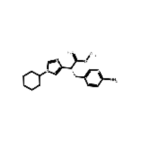 C=C(OC)[C@H](Cc1ccc(N)nc1)c1cn(C2CCCCC2)cn1